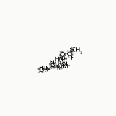 COc1cc(F)cc(-c2cccc3[nH]c(-c4n[nH]c5cnc(-c6cncc(CNCc7ccccc7)c6)cc45)cc23)c1